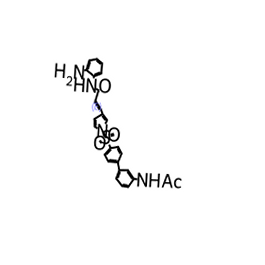 CC(=O)Nc1cccc(-c2ccc(S(=O)(=O)n3ccc(/C=C/C(=O)Nc4ccccc4N)c3)cc2)c1